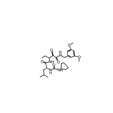 CCC(NC(=O)[C@H](CC(C)C)NC(=O)NC1CCCC1)C(=O)C(=O)NCc1cc(OC)cc(OC)c1